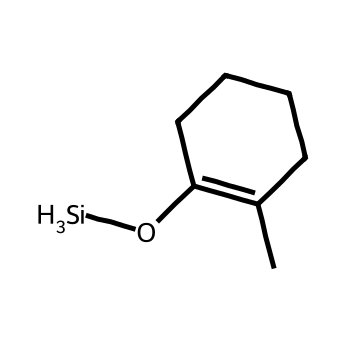 CC1=C(O[SiH3])CCCC1